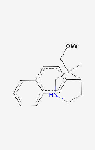 COCC12CNCCC1(c1ccc3ccccc3c1)C2